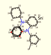 Cc1cccc(N(c2ccccc2)c2ccccc2N(c2ccccc2)c2ccccc2)c1.[Sn]